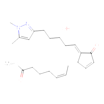 COC(=O)CCC/C=C\C[C@H]1C=CC(=O)/C1=C/C[C@@H](O)CCc1cc(C)n(C)n1